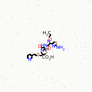 C=CCON=C(C(=O)NC1C(=O)N2CC(CSC=Cc3cccnc3)(C(=O)O)CS[C@H]12)c1csc(N)n1